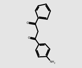 Nc1ccc(C(=O)CC(=O)c2ccccc2)cc1